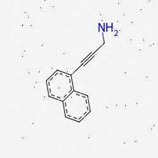 NCC#Cc1cccc2ccccc12